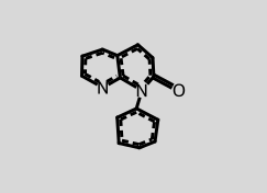 O=c1ccc2cccnc2n1-c1ccccc1